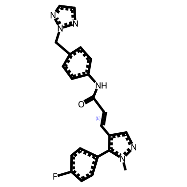 Cn1ncc(/C=C/C(=O)Nc2ccc(Cn3nccn3)cc2)c1-c1ccc(F)cc1